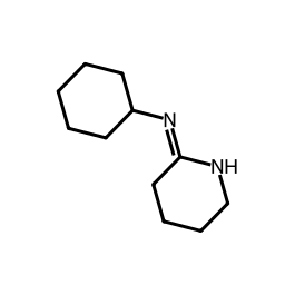 C1CCC(N=C2CCCCN2)CC1